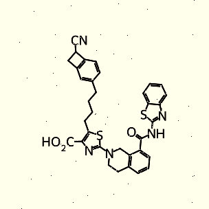 N#CC1Cc2cc(CCCCc3sc(N4CCc5cccc(C(=O)Nc6nc7ccccc7s6)c5C4)nc3C(=O)O)ccc21